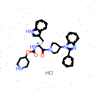 Cl.O=C(N[C@H](Cc1c[nH]c2ccccc12)C(=O)N1CCC(n2c(-c3ccccc3)nc3ccccc32)CC1)OC1CCNCC1